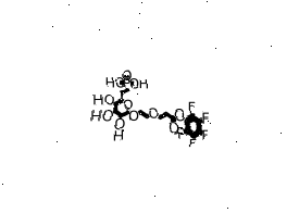 O=C(CCOCCO[C@H]1O[C@H](CCP(=O)(O)O)[C@@H](O)[C@H](O)[C@@H]1O)Oc1c(F)c(F)c(F)c(F)c1F